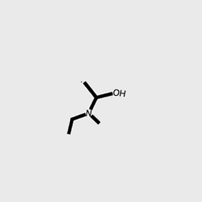 [CH2]C(O)N(C)CC